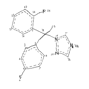 CC(c1ccc(F)cc1)(c1ccccc1F)n1cncn1